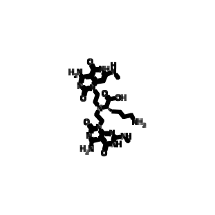 CNc1cc2c(c(N)nc(=O)n2CCN(CCn2c(=O)nc(N)c3c(=O)[nH]c(NC)nc32)[C@@H](CCCCN)C(=O)O)c(=O)[nH]1